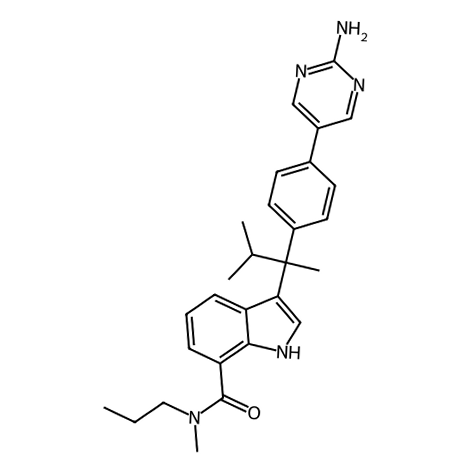 CCCN(C)C(=O)c1cccc2c(C(C)(c3ccc(-c4cnc(N)nc4)cc3)C(C)C)c[nH]c12